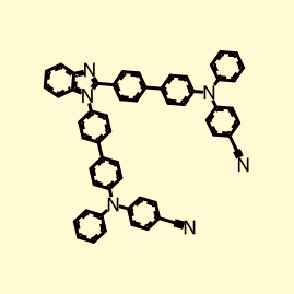 N#Cc1ccc(N(c2ccccc2)c2ccc(-c3ccc(-c4nc5ccccc5n4-c4ccc(-c5ccc(N(c6ccccc6)c6ccc(C#N)cc6)cc5)cc4)cc3)cc2)cc1